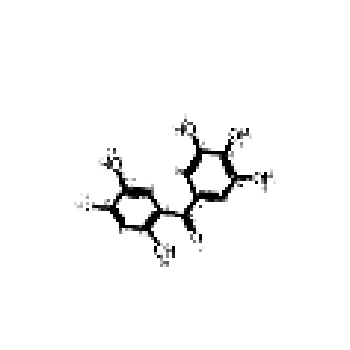 O=C(c1cc(O)c(O)c(O)c1)c1cc(O)c(O)cc1O